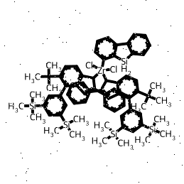 CC(C)(C)c1ccc2c(c1-c1cc([Si](C)(C)C)cc([Si](C)(C)C)c1)C=C(c1ccccc1)[CH]2[Zr]([Cl])([Cl])([c]1cccc2c1[SiH2]c1ccccc1-2)[CH]1C(c2ccccc2)=Cc2c1ccc(C(C)(C)C)c2-c1cc([Si](C)(C)C)cc([Si](C)(C)C)c1